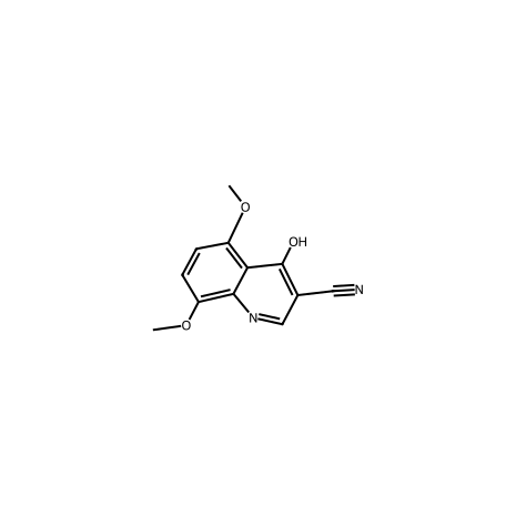 COc1ccc(OC)c2c(O)c(C#N)cnc12